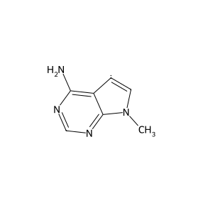 Cn1c[c]c2c(N)ncnc21